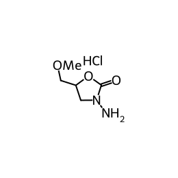 COCC1CN(N)C(=O)O1.Cl